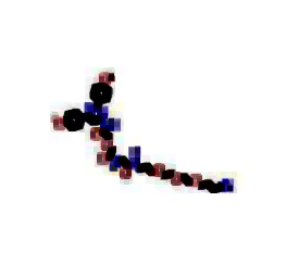 COc1ccc(-c2cc(NC(=O)COCC(=O)N(C)CC(=O)NCCCOCCOCCOCCCC#N)nc(-c3ccc(OC)cc3)n2)cc1